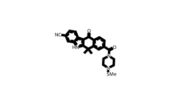 CSN1CCN(C(=O)c2ccc3c(c2)C(C)(C)c2[nH]c4cc(C#N)ccc4c2C3=O)CC1